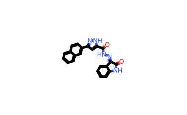 O=C1Nc2ccccc2/C1=N\NC(=O)c1cc(-c2ccc3ccccc3c2)n[nH]1